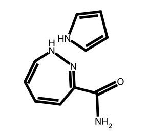 NC(=O)C1=NNC=CC=C1.c1cc[nH]c1